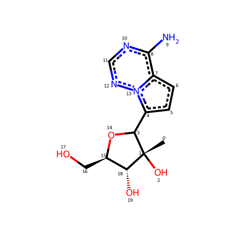 C[C@]1(O)C(c2ccc3c(N)ncnn23)O[C@H](CO)[C@H]1O